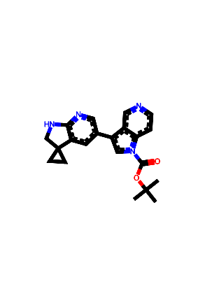 CC(C)(C)OC(=O)n1cc(-c2cnc3c(c2)C2(CC2)CN3)c2cnccc21